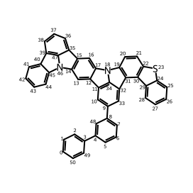 c1ccc(-c2cccc(-c3cc4c5cc6c(cc5n5c7ccc8sc9ccccc9c8c7c(c3)c45)c3cccc4c5ccccc5n6c43)c2)cc1